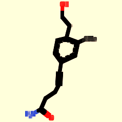 COc1cc(C#CCCC(N)=O)ccc1[CH]CO